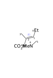 CC/C=C(\C)C(=O)O.CNC